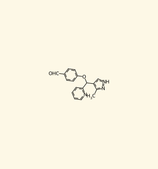 Cc1n[nH]cc1C(Oc1ccc(C=O)cc1)c1ccccn1